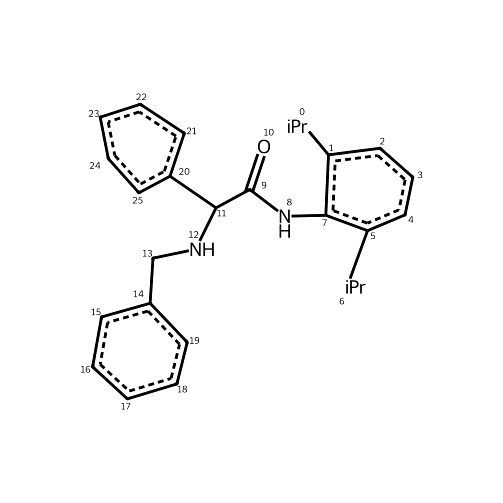 CC(C)c1cccc(C(C)C)c1NC(=O)C(NCc1ccccc1)c1ccccc1